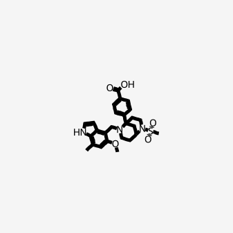 COc1cc(C)c2[nH]ccc2c1CN1CCC2CC1(c1ccc(C(=O)O)cc1)CCN2S(C)(=O)=O